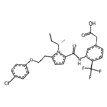 CC[C@H](C)n1c(CCOc2ccc(Cl)cc2)ccc1C(=O)Nc1cc(CC(=O)O)ccc1C(F)(F)F